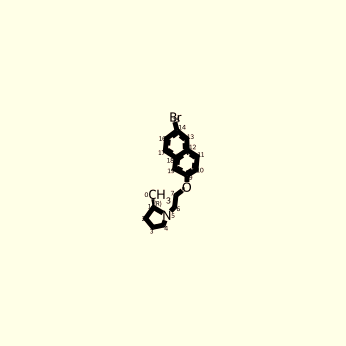 C[C@@H]1CCCN1CCOc1ccc2cc(Br)ccc2c1